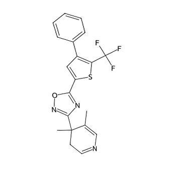 CC1=CN=CCC1(C)c1noc(-c2cc(-c3ccccc3)c(C(F)(F)F)s2)n1